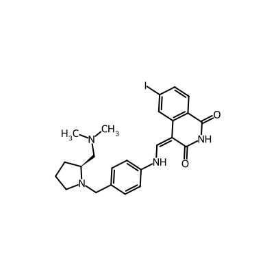 CN(C)C[C@@H]1CCCN1Cc1ccc(N/C=C2\C(=O)NC(=O)c3ccc(I)cc32)cc1